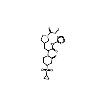 O=C(Nc1nccs1)C(CC1CCN(C(=O)CI)C1)N1CCN(S(=O)(=O)C2CC2)CC1=O